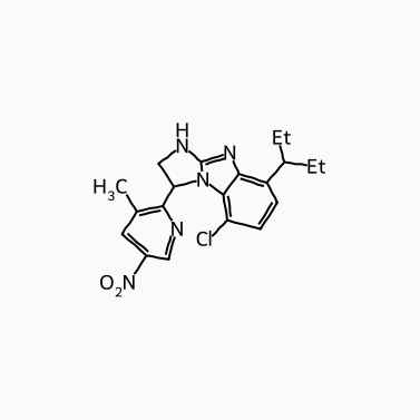 CCC(CC)c1ccc(Cl)c2c1nc1n2C(c2ncc([N+](=O)[O-])cc2C)CN1